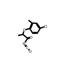 Cc1cc(Cl)ccc1OC(C)C(=O)N=C=O